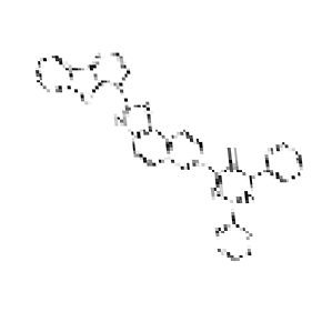 c1ccc(C2=NC(c3ccccc3)NC(c3ccc4c(ccc5nc(-c6cccc7c6oc6ccccc67)sc54)c3)=N2)cc1